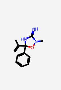 C=C(C)C1(c2ccccc2)NC(=N)N(C)O1